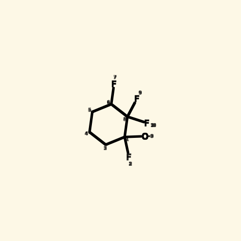 [O]C1(F)CCCC(F)C1(F)F